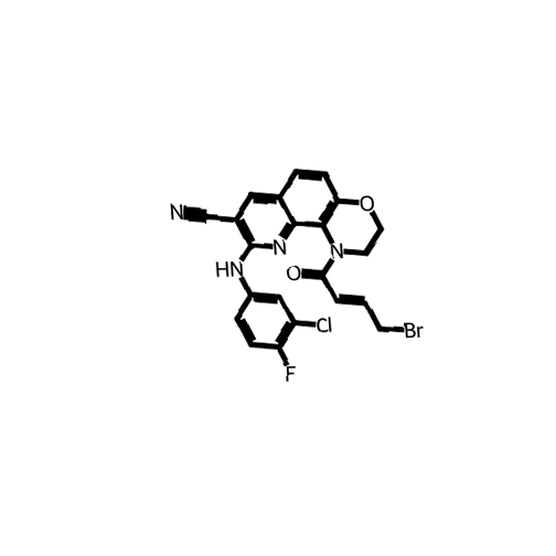 N#Cc1cc2ccc3c(c2nc1Nc1ccc(F)c(Cl)c1)N(C(=O)/C=C/CBr)CCO3